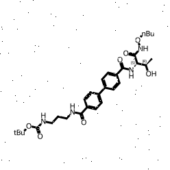 CCCCONC(=O)[C@@H](NC(=O)c1ccc(-c2ccc(C(=O)NCCCNC(=O)OC(C)(C)C)cc2)cc1)[C@@H](C)O